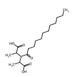 CCCCCCCCCCCC(=O)N(C(C)C(=O)O)C(C)C(=O)O